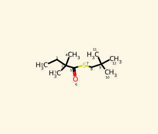 CCC(C)(C)C(=O)SCC(C)(C)C